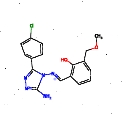 COCc1cccc(/C=N/n2c(N)nnc2-c2ccc(Cl)cc2)c1O